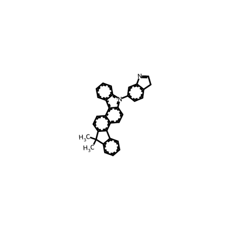 CC1(C)c2ccccc2-c2c1ccc1c2ccc2c1c1ccccc1n2-c1ccc2c(c1)N=CC2